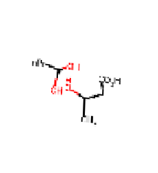 CC(O)CC(=O)O.CCCC(O)O